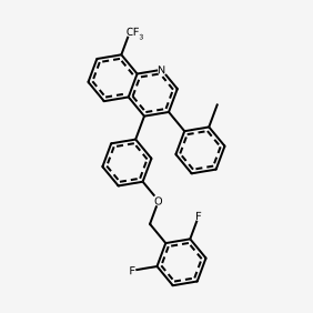 Cc1ccccc1-c1cnc2c(C(F)(F)F)cccc2c1-c1cccc(OCc2c(F)cccc2F)c1